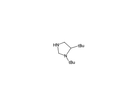 CC(C)(C)C1CNCN1C(C)(C)C